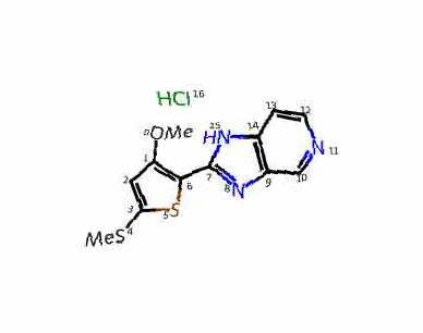 COc1cc(SC)sc1-c1nc2cnccc2[nH]1.Cl